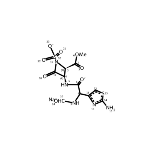 COC(=O)[C@H]1[C@@H](NC(=O)C(NC=O)c2csc(N)n2)C(=O)N1S(=O)(=O)[O-].[Na+]